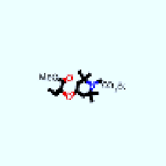 CC=C(OC1CC(C)(C)N(CC(=O)OCC)C(C)(C)C1)C(=O)OC